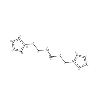 c1coc(CC[Se][Se]CCc2ccco2)c1